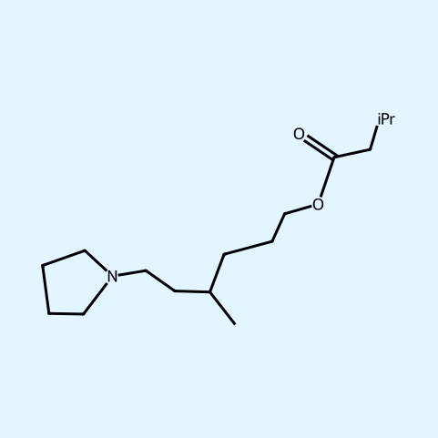 CC(C)CC(=O)OCCCC(C)CCN1CCCC1